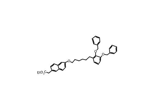 CCOC(=O)Cc1ccc2cc(OCCCCCCc3cccc(OCc4ccccc4)c3OCc3ccccc3)ccc2c1